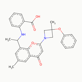 Cc1cc(C(C)Nc2ccccc2C(=O)O)c2oc(N3CC(C)(Oc4ccccc4)C3)cc(=O)c2c1